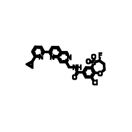 O=C(NCc1cc2nc(-c3cccc(C4CC4)n3)ccc2cn1)c1cc(Cl)c2c(c1)S(=O)(=O)[C@@H](F)CCO2